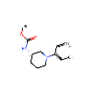 C=C/C(=C\C)N1CCC[C@H](NC(=O)OC(C)(C)C)C1